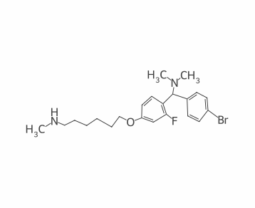 CNCCCCCCOc1ccc(C(c2ccc(Br)cc2)N(C)C)c(F)c1